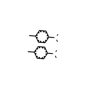 Cc1ccc(B(O)O)cc1.Cc1ccc(B(O)O)cc1